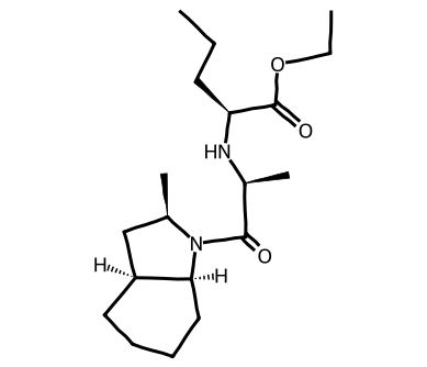 CCC[C@H](N[C@@H](C)C(=O)N1[C@H](C)C[C@@H]2CCCC[C@@H]21)C(=O)OCC